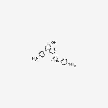 Nc1ccc(NOC(=O)c2ccc(C(=O)O)c(Nc3ccc(N)cc3)c2)cc1